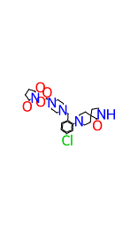 O=C(ON1C(=O)CCC1=O)N1CCN(Cc2ccc(Cl)cc2N2CCC3(CCNC3=O)CC2)CC1